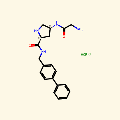 Cl.Cl.NCC(=O)N[C@H]1CN[C@H](C(=O)NCc2ccc(-c3ccccc3)cc2)C1